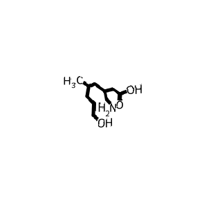 CC(CCCO)CC(CN)CC(=O)O